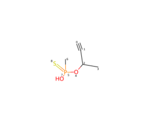 C#CC(C)OP(C)(O)=S